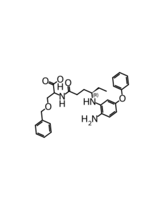 CC[C@H](CCC(=O)NC(COCc1ccccc1)C(=O)O)Nc1cc(Oc2ccccc2)ccc1N